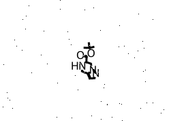 CC(C)(C)OC(=O)C1Cn2nccc2CN1